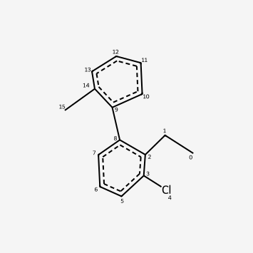 CCc1c(Cl)cccc1-c1ccccc1C